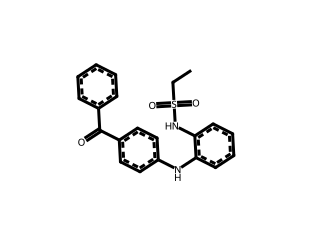 CCS(=O)(=O)Nc1ccccc1Nc1ccc(C(=O)c2ccccc2)cc1